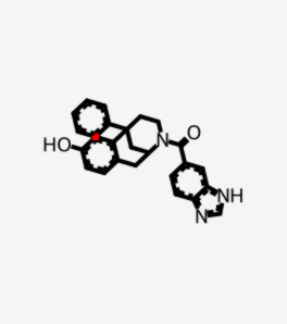 O=C(c1ccc2nc[nH]c2c1)N1CCC2(c3ccccc3)CC1Cc1ccc(O)cc12